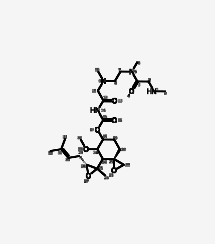 CNCC(=O)N(C)CCN(C)CC(=O)NC(=O)OC1CC[C@]2(CO2)C(C2(C)O[C@@H]2CC=C(C)C)C1OC